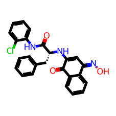 O=C1C(N[C@H](Cc2ccccc2)C(=O)Nc2ccccc2Cl)=C/C(=N/O)c2ccccc21